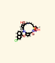 C[C@H](O)C[C@@H]1CC/C=C\[C@H](O)[C@@H]2CC[C@H]2CN2C[C@@]3(CCCc4cc(Cl)ccc43)COc3ccc(cc32)C(=O)NS1(=O)=O